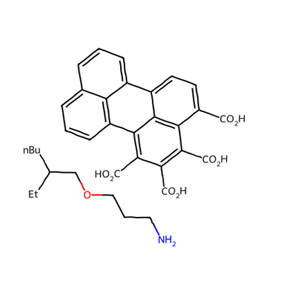 CCCCC(CC)COCCCN.O=C(O)c1c(C(=O)O)c2c(C(=O)O)ccc3c4cccc5cccc(c(c1C(=O)O)c23)c54